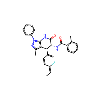 C=C(/C=C\C(F)=C/C)[C@H]1c2c(C)nn(-c3ccccc3)c2NC(=O)[C@@H]1NC(=O)c1ccccc1C